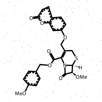 COc1ccc(COC(=O)C2=C(COc3ccc4ccc(=O)oc4c3)CS[C@H]3[C@@H](OC)C(=O)N23)cc1